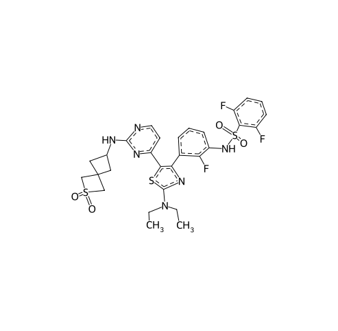 CCN(CC)c1nc(-c2cccc(NS(=O)(=O)c3c(F)cccc3F)c2F)c(-c2ccnc(NC3CC4(C3)CS(=O)(=O)C4)n2)s1